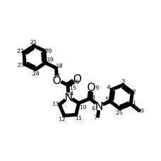 Cc1cccc(N(C)C(=O)C2CCCN2C(=O)OCc2ccccc2)c1